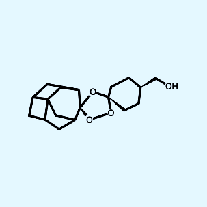 OC[C@H]1CC[C@@]2(CC1)OO[C@@]1(O2)C2CC3CC4CC1CC34C2